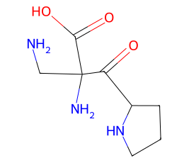 NCC(N)(C(=O)O)C(=O)C1CCCN1